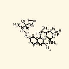 Cc1nc(N[C@H](C)c2cc(N)cc(C(F)(F)F)c2)c2cc(OCCN(C)S(=O)(=O)C3CCC3)ccc2n1